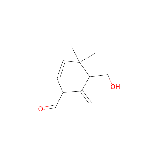 C=C1C(C=O)C=CC(C)(C)C1CO